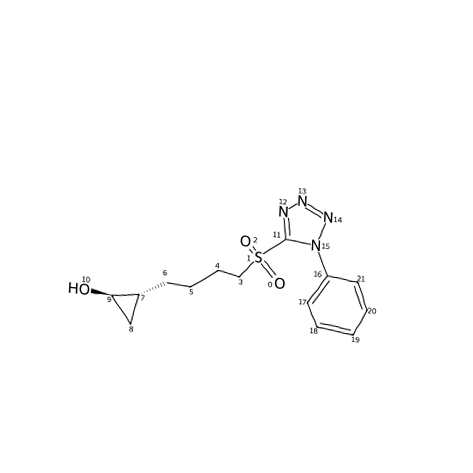 O=S(=O)(CCCC[C@@H]1C[C@H]1O)c1nnnn1-c1ccccc1